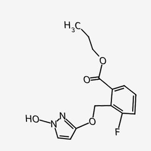 CCCOC(=O)c1cccc(F)c1COc1ccn(O)n1